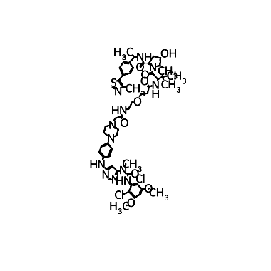 COc1cc(OC)c(Cl)c(NC(=O)N(C)c2cc(Nc3ccc(N4CCN(CC(=O)NCCOCCC(=O)NC(C(=O)N5C[C@H](O)C[C@H]5C(=O)NC(C)c5ccc(-c6scnc6C)cc5)C(C)(C)C)CC4)cc3)ncn2)c1Cl